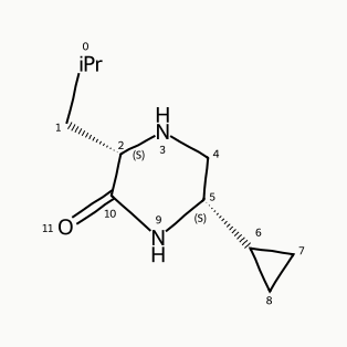 CC(C)C[C@@H]1NC[C@H](C2CC2)NC1=O